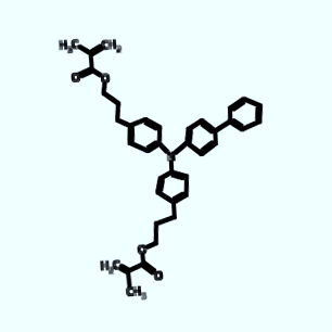 C=C(C)C(=O)OCCCc1ccc(N(c2ccc(CCCOC(=O)C(=C)C)cc2)c2ccc(-c3ccccc3)cc2)cc1